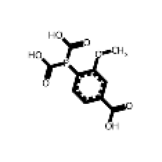 COc1cc(C(=O)O)ccc1P(C(=O)O)C(=O)O